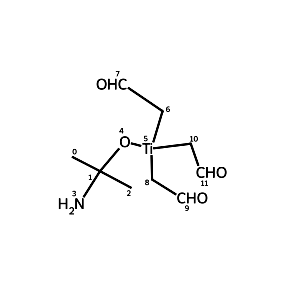 CC(C)(N)[O][Ti]([CH2]C=O)([CH2]C=O)[CH2]C=O